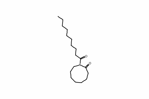 CCCCCCCCCC(=O)N1CCCCCCCC1=O